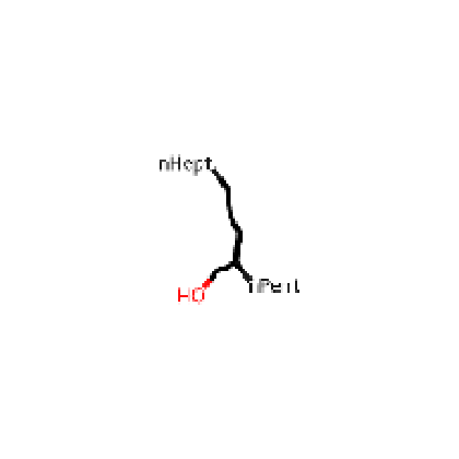 CCCCCCCCCCC(CO)CCCCC